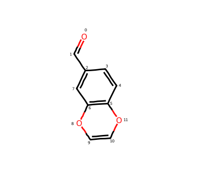 O=Cc1ccc2c(c1)OC=CO2